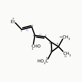 CC/C=C/C(C=O)=C/C1C(C(=O)O)C1(C)C